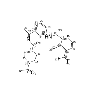 CC(=O)N1CC=C(c2cc3c(N[C@H](C)c4cccc(C(F)F)c4F)ccnc3c(C)n2)CC1